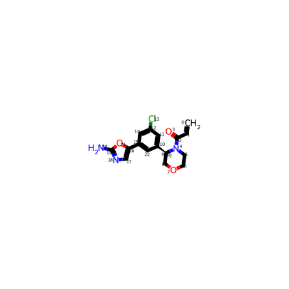 C=CC(=O)N1CCOC[C@H]1c1cc(Cl)cc(-c2cnc(N)o2)c1